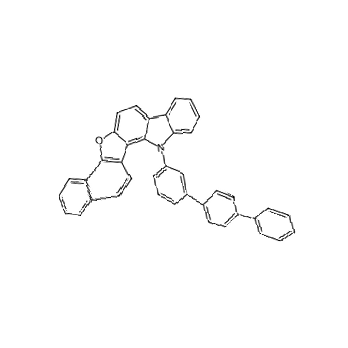 c1ccc(-c2ccc(-c3cccc(-n4c5ccccc5c5ccc6oc7c8ccccc8ccc7c6c54)c3)cc2)cc1